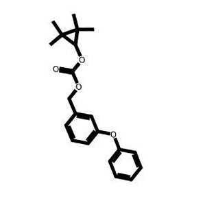 CC1(C)C(OC(=O)OCc2cccc(Oc3ccccc3)c2)C1(C)C